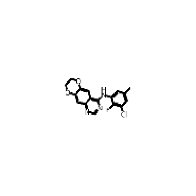 Cc1cc(Cl)c(F)c(Nc2ncnc3cc4c(cc23)OCCO4)c1